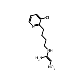 NC(=C[N+](=O)[O-])NCCCCc1ncccc1Cl